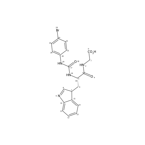 O=C(O)CNC(=O)[C@H](CC1C=Nc2ccccc21)NC(=O)Nc1ccc(Br)cc1